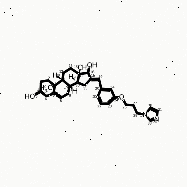 C[C@]12CCC(O)CC1=CC[C@@H]1[C@H]2CC[C@]2(C)C(O)C(=Cc3cccc(OCCCn4ccnc4)c3)C[C@@H]12